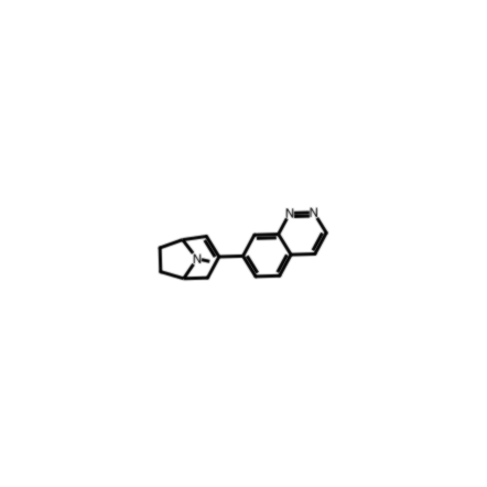 CN1C2C=C(c3ccc4ccnnc4c3)CC1CC2